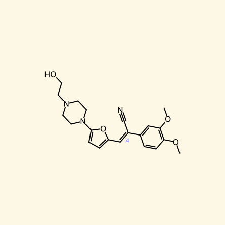 COc1ccc(/C(C#N)=C/c2ccc(N3CCN(CCO)CC3)o2)cc1OC